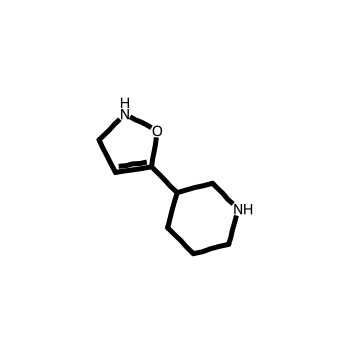 C1=C(C2CCCNC2)ONC1